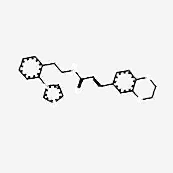 O=C(/C=C/c1ccc2c(c1)OCCO2)NCCc1ccccc1-n1ccnc1